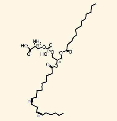 CCCCC/C=C\C/C=C\CCCCCCCC(=O)O[C@H](COC(=O)CCCCCCCCCCCC)COP(=O)(O)OC[C@H](N)C(=O)O